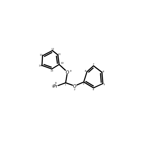 C[C](C)C(Oc1ccccc1)Oc1ccccc1